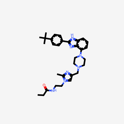 CCC(=O)NCCn1cc(CN2CCN(c3cccc4[nH]c(-c5ccc(C(C)(C)C)cc5)nc34)CC2)nc1C